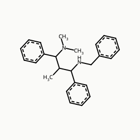 CC(C(NCc1ccccc1)c1ccccc1)C(c1ccccc1)N(C)C